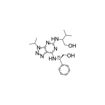 CC(C)C(CO)Nc1nc(N[C@@H](CO)c2ccccc2)c2nnn(C(C)C)c2n1